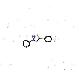 CC(C)(C)c1ccc(-c2[c]c(-c3ccccc3)ns2)cc1